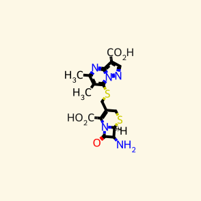 Cc1nc2c(C(=O)O)cnn2c(SCC2=C(C(=O)O)N3C(=O)C(N)[C@@H]3SC2)c1C